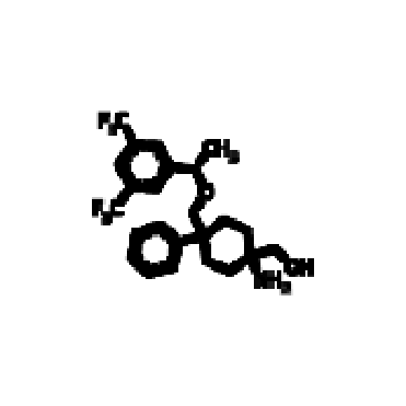 C[C@@H](OCC1(c2ccccc2)CCC(N)(CO)CC1)c1cc(C(F)(F)F)cc(C(F)(F)F)c1